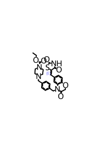 CCOC(=O)N1CCN(Cc2ccc(CN3C(=O)COc4ccc(/C=C5/SC(=O)NC5=O)cc43)cc2)CC1